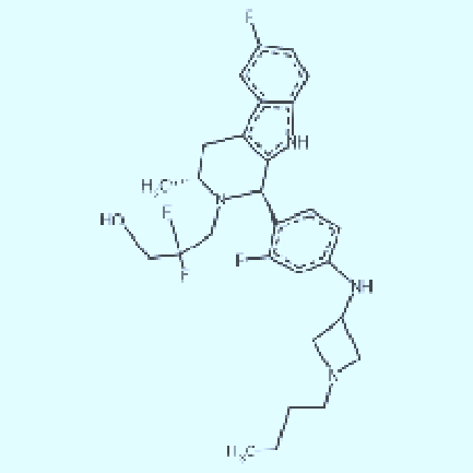 CCCCN1CC(Nc2ccc([C@@H]3c4[nH]c5ccc(F)cc5c4C[C@@H](C)N3CC(F)(F)CO)c(F)c2)C1